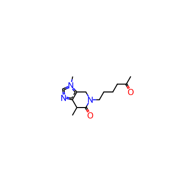 CC(=O)CCCCN1Cc2c(ncn2C)C(C)C1=O